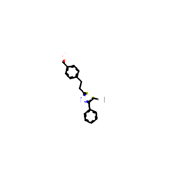 Cc1sc(CCc2ccc(C=O)cc2)nc1-c1ccccc1